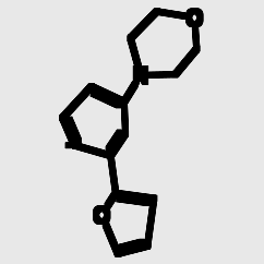 [c]1ccc(N2CCOCC2)cc1-c1ccco1